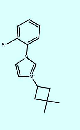 CC1(C)CC([n+]2ccn(-c3ccccc3Br)c2)C1